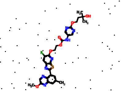 COc1cnc2c(-c3nc4cc(F)c(OCCOC(=O)Nc5cnc(OCCC(C)(C)O)nc5)nc4s3)cc(C)cc2n1